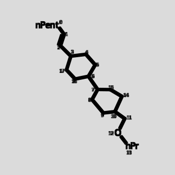 CCCCC/C=C/C1CCC(C2CCC(COCCC)CC2)CC1